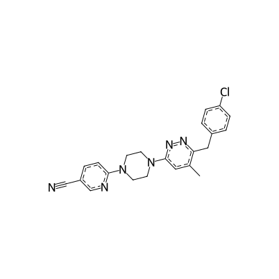 Cc1cc(N2CCN(c3ccc(C#N)cn3)CC2)nnc1Cc1ccc(Cl)cc1